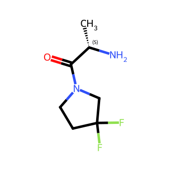 C[C@H](N)C(=O)N1CCC(F)(F)C1